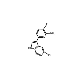 Nc1nc(-c2c[nH]c3ncc(Cl)cc23)ccc1F